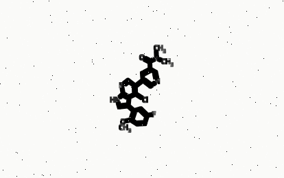 COc1ccc(F)cc1-c1c[nH]c2ncc(-c3cncc(C(=O)N(C)C)c3)c(Cl)c12